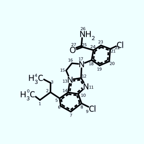 CCC(CC)c1ccc(Cl)c2nc3n(c12)CCN3c1ccc(Cl)cc1C(N)=O